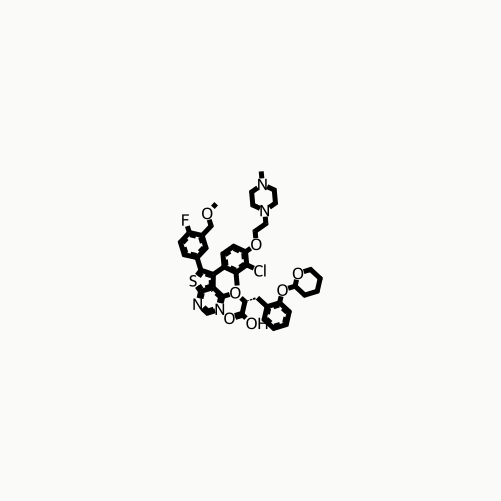 COCc1cc(-c2sc3ncnc(O[C@H](Cc4ccccc4OC4CCCCO4)C(=O)O)c3c2-c2ccc(OCCN3CCN(C)CC3)c(Cl)c2C)ccc1F